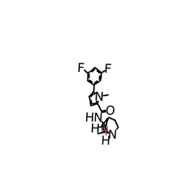 C[C@H]1[C@H](NC(=O)c2ccc(-c3cc(F)cc(F)c3)n2C)C2CCN1CC2